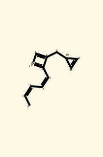 C/C=C\C=C/C1=PC=C1CC1C=C1